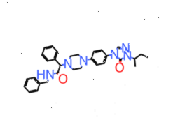 CCC(C)n1ncn(-c2ccc(N3CCN(C(C(=O)NCc4ccccc4)c4ccccc4)CC3)cc2)c1=O